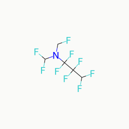 FCN(C(F)F)C(F)(F)C(F)(F)C(F)F